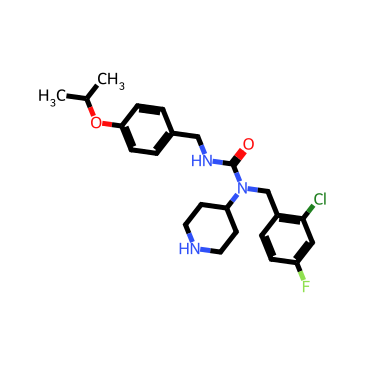 CC(C)Oc1ccc(CNC(=O)N(Cc2ccc(F)cc2Cl)C2CCNCC2)cc1